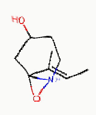 C/C=C(\C)C12CC(O)CCN1O2